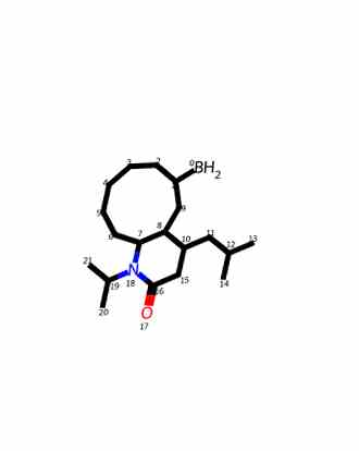 BC1CCCCCC2C(C1)C(CC(C)C)CC(=O)N2C(C)C